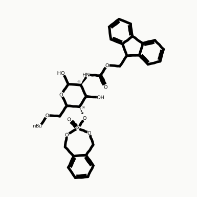 CCCCOCC1OC(O)[C@@H](NC(=O)OCC2c3ccccc3-c3ccccc32)C(O)[C@@H]1OP1(=O)OCc2ccccc2CO1